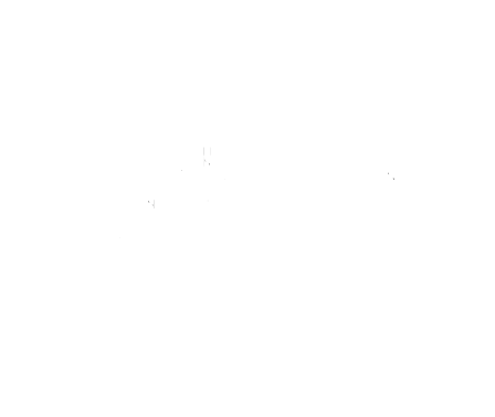 Cc1cc(Cc2cccc(C(=O)NC(C)(C)CN3CCc4ccccc4C3)c2)c2ccccc2n1